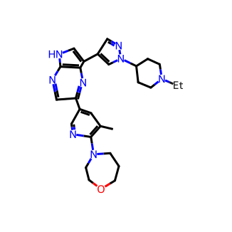 CCN1CCC(n2cc(-c3c[nH]c4ncc(-c5cnc(N6CCCOCC6)c(C)c5)nc34)cn2)CC1